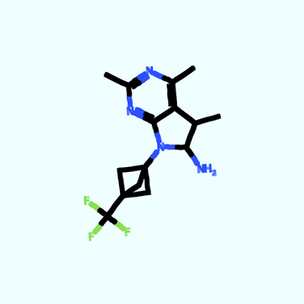 Cc1nc(C)c2c(n1)N(C13CC(C(F)(F)F)(C1)C3)C(N)C2C